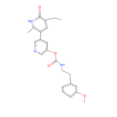 CCc1cc(-c2cncc(OC(=O)NCCc3cccc(OC)c3)c2)c(C)[nH]c1=O